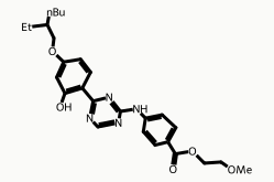 CCCCC(CC)COc1ccc(-c2ncnc(Nc3ccc(C(=O)OCCOC)cc3)n2)c(O)c1